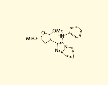 COC1CC(c2nc3ccccn3c2Nc2ccccc2)C(OC)O1